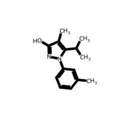 Cc1cccc(-n2nc(O)c(C)c2C(C)C)c1